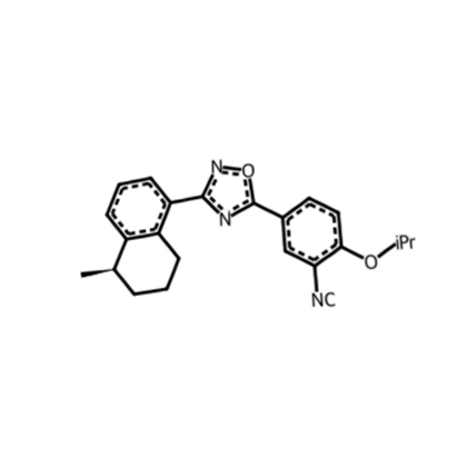 [C-]#[N+]c1cc(-c2nc(-c3cccc4c3CCC[C@H]4C)no2)ccc1OC(C)C